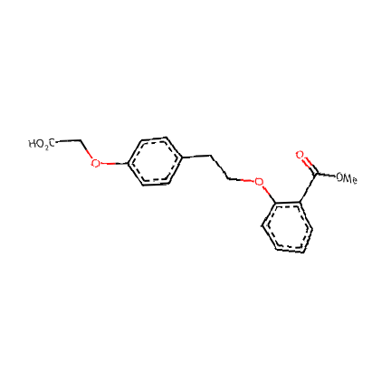 COC(=O)c1ccccc1OCCc1ccc(OCC(=O)O)cc1